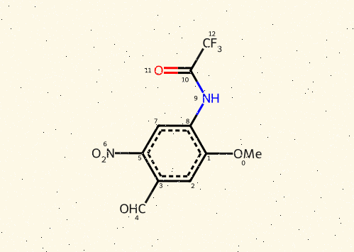 COc1cc(C=O)c([N+](=O)[O-])cc1NC(=O)C(F)(F)F